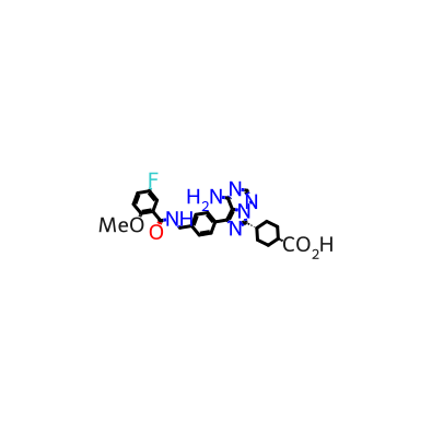 COc1ccc(F)cc1C(=O)NCc1ccc(-c2nc([C@H]3CC[C@H](C(=O)O)CC3)n3ncnc(N)c23)cc1